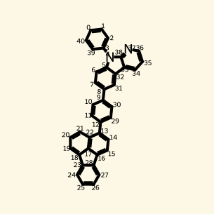 c1ccc(-n2c3ccc(-c4ccc(-c5ccc6c7c(cccc57)-c5ccccc5-6)cc4)cc3c3cccnc32)cc1